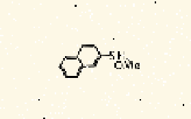 CO[SiH2]c1ccc2ccccc2c1